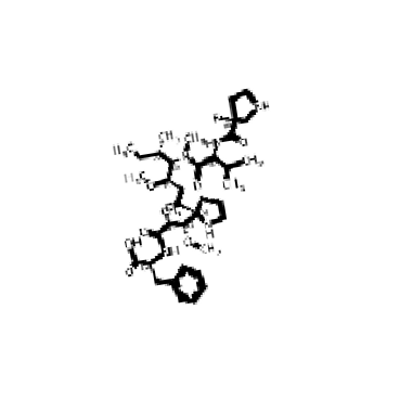 CC[C@H](C)[C@@H]([C@@H](CC(=O)[C@@]1([C@H](OC)[C@@H](C)C(=O)N[C@@H](Cc2ccccc2)C(=O)O)CCCN1)OC)N(C)C(=O)[C@@H](NC(=O)[C@]1(F)CCNC1)C(C)C